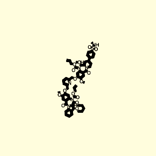 C=CCOC(=O)N1c2cc(OCc3cccc(COc4cc5c(cc4OC)C(=O)N4c6ccccc6C[C@H]4C(OC4CCCCO4)N5C(=O)OCC=C)n3)c(OC)cc2C(=O)N2CC=C(c3ccc(S(=O)(=O)NC)cc3)C[C@H]2C1OC